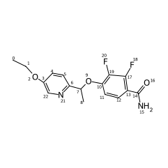 CCOc1ccc(C(C)Oc2ccc(C(N)=O)c(F)c2F)nc1